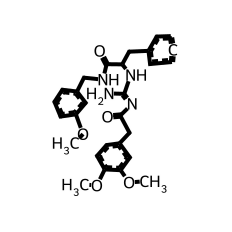 COc1cccc(CNC(=O)C(Cc2ccccc2)NC(N)=NC(=O)Cc2ccc(OC)c(OC)c2)c1